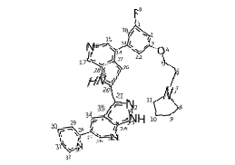 Fc1cc(OCCN2CCCC2)cc(-c2cncc3[nH]c(-c4n[nH]c5ncc(-c6ccccn6)cc45)cc23)c1